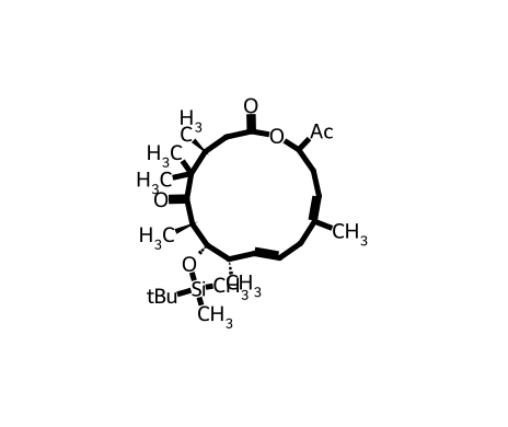 CC(=O)C1C/C=C(/C)C/C=C/[C@H](C)[C@H](O[Si](C)(C)C(C)(C)C)[C@@H](C)C(=O)C(C)(C)[C@@H](C)CC(=O)O1